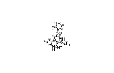 Cn1cc(Nc2ncc(C(F)(F)F)c(NCCCN3CCCCC3=O)n2)c(OCC(F)(F)F)n1